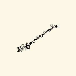 Cc1c(NCCOCCOCCOCCOCCOCCC(=O)O)cccc1C(=O)NC1=NC(C)C(C)S1